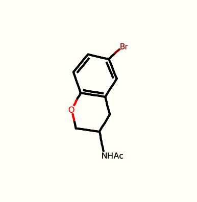 CC(=O)NC1COc2ccc(Br)cc2C1